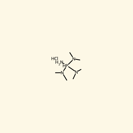 CN(C)[PH](N)(N(C)C)N(C)C.Cl